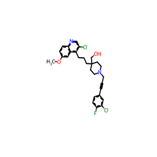 COc1ccc2ncc(Cl)c(CCCC3(CO)CCN(CC#Cc4ccc(F)c(Cl)c4)CC3)c2c1